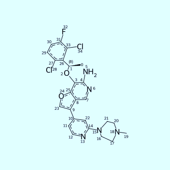 C[C@@H](Oc1c(N)ncc2c(-c3ccnc(N4CCN(C)CC4)c3)coc12)c1c(Cl)ccc(F)c1Cl